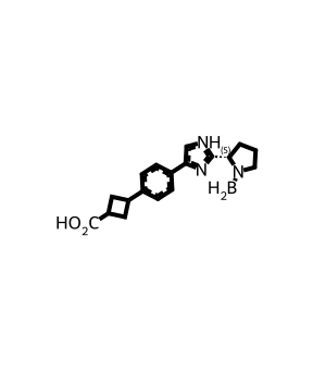 BN1CCC[C@H]1c1nc(-c2ccc(C3CC(C(=O)O)C3)cc2)c[nH]1